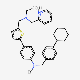 CCN(Cc1ccc(C2CCCCC2)cc1)c1ccc(-c2ccc(CN(CC(=O)O)Cc3ccccn3)s2)cc1